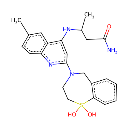 Cc1ccc2nc(N3CCS(O)(O)c4ccccc4C3)cc(NC(C)CC(N)=O)c2c1